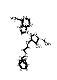 Nc1ncnc2c1ncn2[C@@H]1O[C@H](CO)C(O)C1OCCOCC1C2=CC=C1CC2